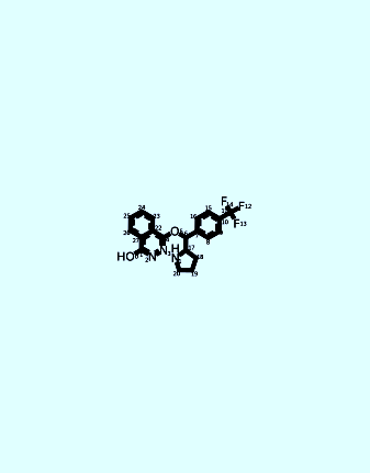 Oc1nnc(OC(c2ccc(C(F)(F)F)cc2)C2CCCN2)c2ccccc12